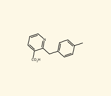 Cc1ccc(Cc2ncccc2C(=O)O)cc1